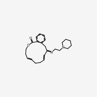 O=C1OCC/C=C/CC/C=C/C(=N/CCN2CCCCC2)Cc2ccccc21